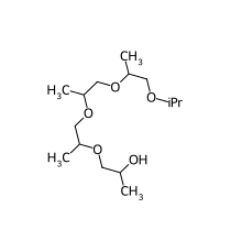 [CH2]C(C)OCC(C)OCC(C)OCC(C)OCC(C)O